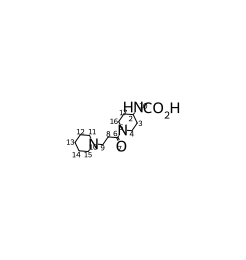 O=C(O)NC1CCN(C(=O)CCN2CCCCC2)CC1